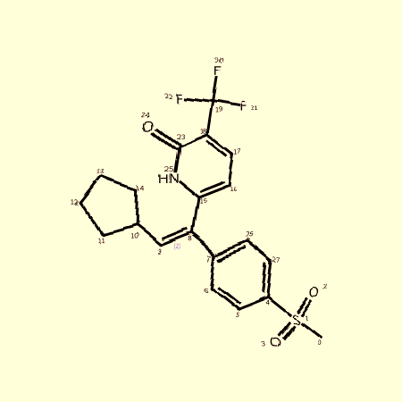 CS(=O)(=O)c1ccc(/C(=C/C2CCCC2)c2ccc(C(F)(F)F)c(=O)[nH]2)cc1